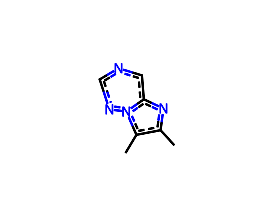 Cc1nc2cncnn2c1C